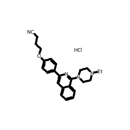 CCN1CCN(c2nc(-c3ccc(OCCCC#N)cc3)cc3ccccc23)CC1.Cl